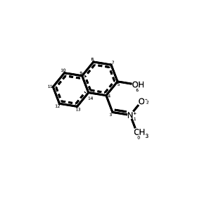 C[N+]([O-])=Cc1c(O)ccc2ccccc12